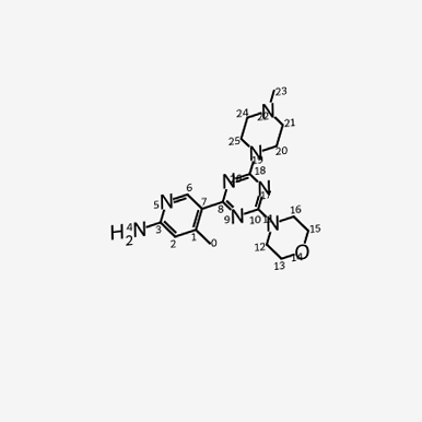 Cc1cc(N)ncc1-c1nc(N2CCOCC2)nc(N2CCN(C)CC2)n1